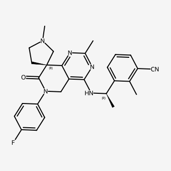 Cc1nc(N[C@H](C)c2cccc(C#N)c2C)c2c(n1)[C@]1(CCN(C)C1)C(=O)N(c1ccc(F)cc1)C2